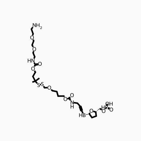 CC(C)(CCOC(=O)NCCOCCOCCN)SSCOCCCCOC(=O)NCC#CB[C@H]1CC[C@@H](CO[PH](=O)O)O1